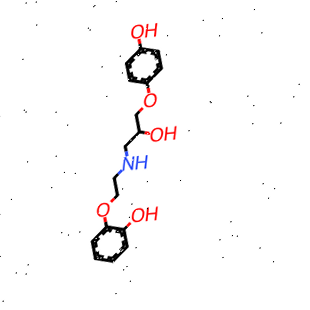 Oc1ccc(OCC(O)CNCCOc2ccccc2O)cc1